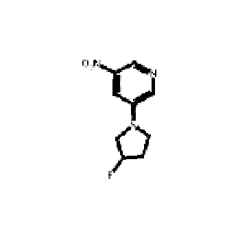 O=[N+]([O-])c1cncc(N2CCC(F)C2)c1